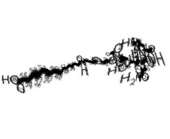 CC(=O)N(CC(=O)N[C@@H](CO)C(=O)N[C@@H](CCC(N)=O)C(=O)N[C@@H](Cc1c[nH]cn1)C(=O)O)OCCOCCNC(=O)CCCCCCCCCCCCCCC(=O)O